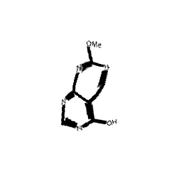 COc1ncc2c(O)ncnc2n1